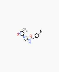 O=C(Cc1ccc(C2CC2)cc1)N[C@@H]1CCN(c2cc(C(F)(F)F)c[n+]([O-])c2)C1